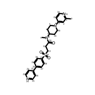 Cc1cc(N2CCC(N(C)C(=O)CCS(=O)(=O)c3ccc(-c4ccncc4)cc3)CC2)ccn1